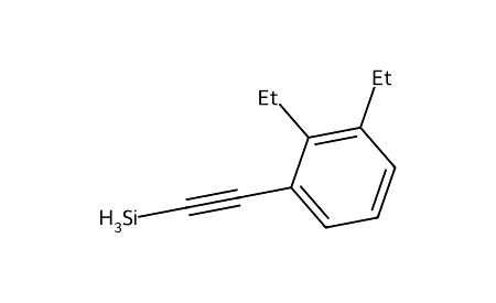 CCc1cccc(C#C[SiH3])c1CC